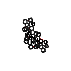 c1ccc(-c2nc(-c3cccc(-c4cccc(-c5ccc6c(c5)-c5ccccc5C65c6ccccc6Oc6cc(-c7ccccc7-c7nc(-c8ccccc8)nc(-c8ccccc8-c8ccccc8)n7)ccc65)c4)c3)nc(-c3ccccc3-c3ccc4c(c3)Oc3ccccc3C43c4ccccc4-c4ccccc43)n2)cc1